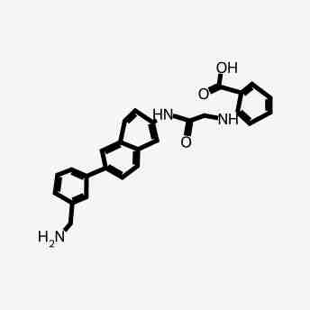 NCc1cccc(-c2ccc3cc(NC(=O)CNc4ccccc4C(=O)O)ccc3c2)c1